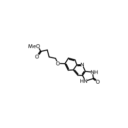 COC(=O)CCCOc1ccc2nc3[nH]c(=O)[nH]c3cc2c1